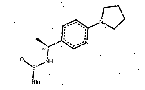 C[C@H](N[S+]([O-])C(C)(C)C)c1ccc(N2CCCC2)nc1